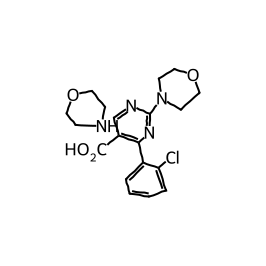 C1COCCN1.O=C(O)c1cnc(N2CCOCC2)nc1-c1ccccc1Cl